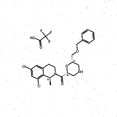 C[C@H]1c2c(Cl)cc(Cl)cc2CCN1C(=O)[C@H]1CNC[C@@H](COCc2ccccc2)O1.O=C(O)C(F)(F)F